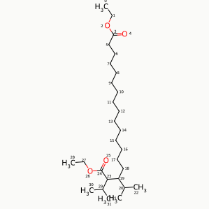 CCOC(=O)CCCCCCCCCCCCCCC(C(C)C)C(C(=O)OCC)C(C)C